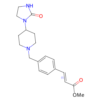 COC(=O)/C=C/c1ccc(CN2CCC(N3CCNC3=O)CC2)cc1